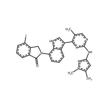 Cc1cnc(Nc2cc(C)n(C)n2)nc1-c1c[nH]c2c(N3Cc4c(I)cccc4C3=O)cccc12